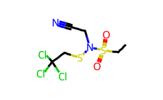 CCS(=O)(=O)N(CC#N)SCC(Cl)(Cl)Cl